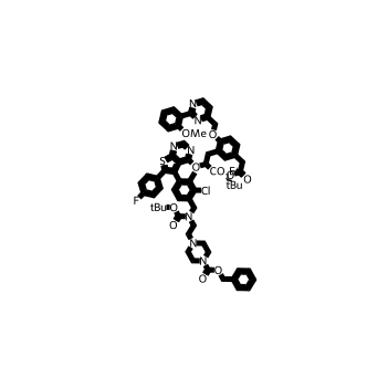 CCOC(=O)C(Cc1cc(CC(=O)OC(C)(C)C)ccc1OCc1ccnc(-c2ccccc2OC)n1)Oc1ncnc2sc(-c3ccc(F)cc3)c(-c3ccc(CN(CCN4CCN(C(=O)OCc5ccccc5)CC4)C(=O)OC(C)(C)C)c(Cl)c3C)c12